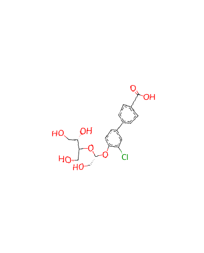 O=C(O)c1ccc(-c2ccc(O[C@H](CO)OC(CO)[C@@H](O)CO)c(Cl)c2)cc1